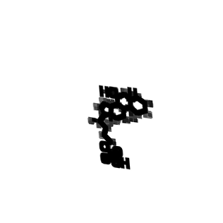 C[C@H](CCCOS(=O)(=O)O)[C@H]1CCC2C3C(CC[C@@]21C)[C@@]1(C)CCCC[C@H]1C[C@H]3O